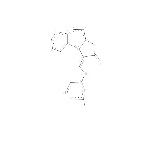 N#Cc1cccc(N/C=C2\C(=O)Nc3ccc4ncccc4c32)c1